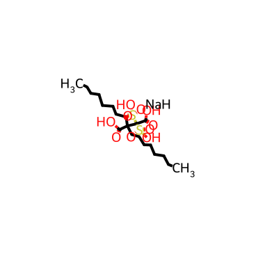 CCCCCCCCC(CCCCCCCC)(C(=O)O)C(C(=O)O)(S(=O)(=O)O)S(=O)(=O)O.[NaH]